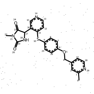 Cc1cc(COc2ccc(Sc3ccncc3C3NC(=O)N(C)C3=O)cc2)ccn1